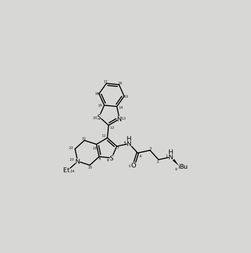 CC[C@H](C)NCCC(=O)Nc1sc2c(c1-c1nc3ccccc3s1)CCN(CC)C2